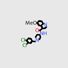 COc1ccc2nccc(C(=O)NC3CCN(Cc4ccc(Cl)c(Cl)c4)CC3)c2c1